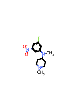 CN1CCC(N(C)c2cc(F)cc([N+](=O)[O-])c2)CC1